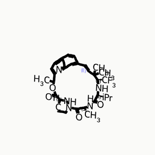 CC1OC(=O)[C@@H]2CCCN(N2)C(=O)[C@H](C)NC(=O)[C@H](C(C)C)N[C@H](C(F)(F)F)C(C)(C)/C=C/c2ccc3ccc1nc3c2